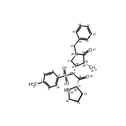 Cc1ccc(S(=O)(=O)N(C(=O)[C@@H]2CCCN2)[C@@H]2CN(Cc3ccccc3)C(=O)[C@@H]2C)cc1